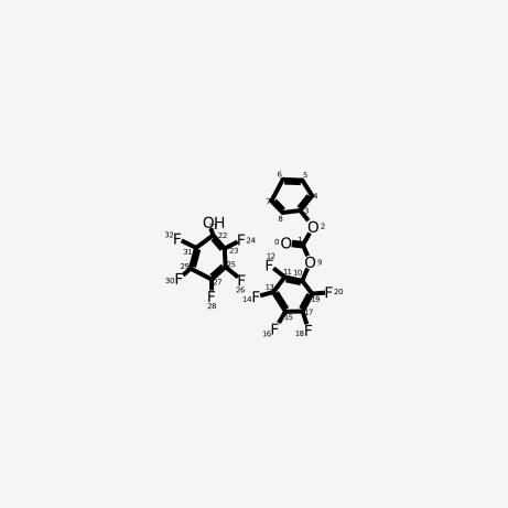 O=C(Oc1ccccc1)Oc1c(F)c(F)c(F)c(F)c1F.Oc1c(F)c(F)c(F)c(F)c1F